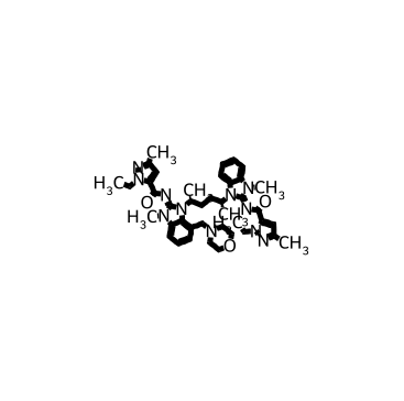 CCn1nc(C)cc1C(=O)N=c1n(C)c2cccc(CN3CCOCC3)c2n1[C@H](C)CC[C@H](C)n1/c(=N/C(=O)c2cc(C)nn2CC)n(C)c2ccccc21